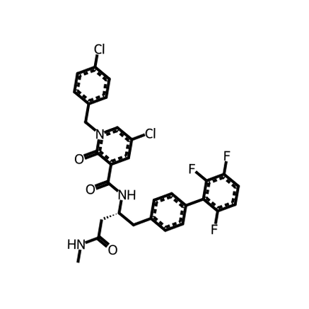 CNC(=O)C[C@@H](Cc1ccc(-c2c(F)ccc(F)c2F)cc1)NC(=O)c1cc(Cl)cn(Cc2ccc(Cl)cc2)c1=O